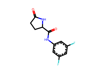 O=C1CCC(C(=O)Nc2cc(F)cc(F)c2)N1